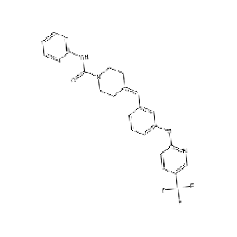 O=C(Nc1ccccn1)N1CCC(=Cc2cccc(Oc3ccc(C(F)(F)F)cn3)c2)CC1